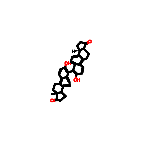 CC12CCc3c(ccc4c(-c5c(O)ccc6c7c(ccc56)[C@H]5CCC(=O)C5CC7)c(O)ccc34)C1CCC2=O